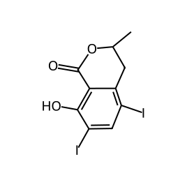 CC1Cc2c(I)cc(I)c(O)c2C(=O)O1